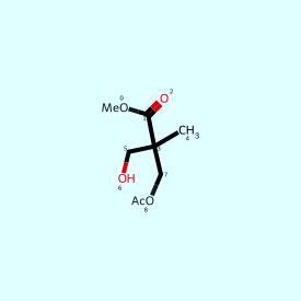 COC(=O)C(C)(CO)COC(C)=O